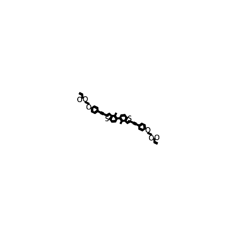 C=CC(=O)OCCOc1ccc(C#Cc2cc3c(C)c(-c4ccc5sc(C#Cc6ccc(OCCOC(=O)C=C)cc6)cc5c4C)ccc3s2)cc1